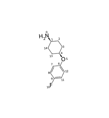 N[C@H]1CC[C@@H](Oc2ccc(F)cc2)CC1